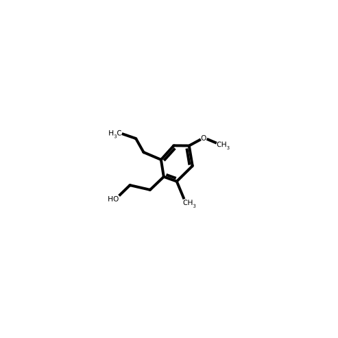 CCCc1cc(OC)cc(C)c1CCO